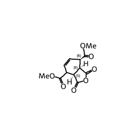 COC(=O)C1C=C[C@@H](C(=O)OC)[C@H]2C(=O)OC(=O)[C@@H]12